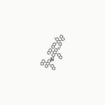 Cc1ccc2c(-c3cccc4ccccc34)c3ccc(CC(C)(C)c4ccc5c(-c6cccc7ccccc67)c6ccc(C[Si](C)(C)c7ccc8c(-c9cccc%10ccccc9%10)c9ccccc9c(-c9ccc%10ccccc%10c9)c8c7)cc6c(-c6ccc7ccccc7c6)c5c4)cc3c(-c3ccc4ccccc4c3)c2c1